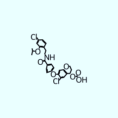 CC(C)Oc1cc(Cl)ccc1CCNC(=O)c1ccc(Oc2cc3c(cc2Cl)C(OC(=O)O)CCO3)cc1